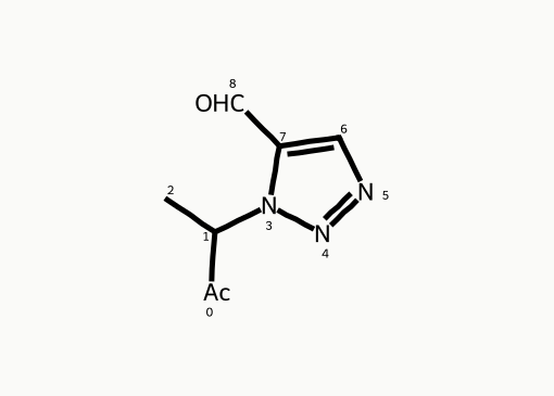 CC(=O)C(C)n1nncc1C=O